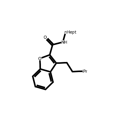 CCCCCCCNC(=O)c1oc2ccccc2c1CCC(C)C